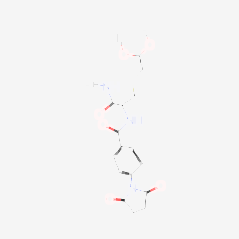 CCCCNC(=O)C(CSCC(OCC)OCC)NC(=O)c1ccc(N2C(=O)CCC2=O)cc1